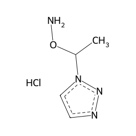 CC(ON)n1ccnn1.Cl